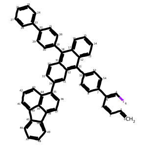 C=C/C=C\C(=C/I)c1ccc(-c2c3ccccc3c(-c3ccc(-c4ccccc4)cc3)c3ccc(-c4ccc5c6c(cccc46)-c4ccccc4-5)cc23)cc1